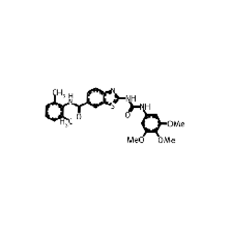 COc1cc(NC(=O)Nc2nc3ccc(C(=O)Nc4c(C)cccc4C)cc3s2)cc(OC)c1OC